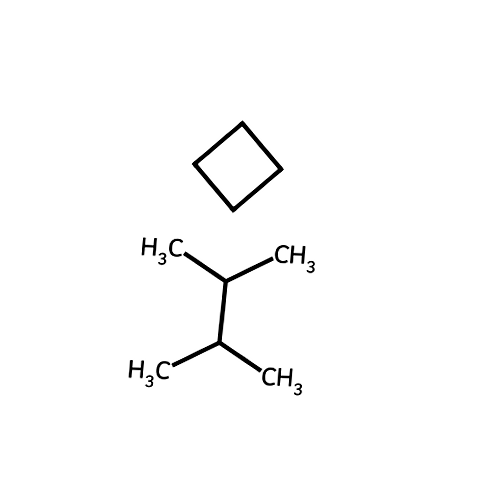 C1CCC1.CC(C)C(C)C